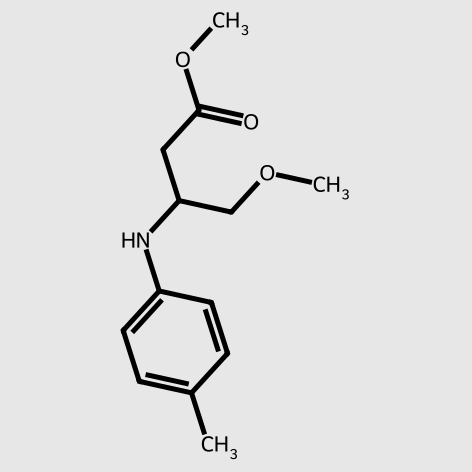 COCC(CC(=O)OC)Nc1ccc(C)cc1